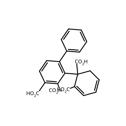 O=C(O)C1=CC=CCC1(C(=O)O)c1c(-c2ccccc2)ccc(C(=O)O)c1C(=O)O